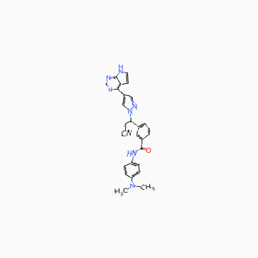 CN(C)c1ccc(NC(=O)c2cccc(C(CC#N)n3cc(-c4ncnc5[nH]ccc45)cn3)c2)cc1